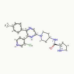 O=C(NC1CCN(c2cnc(-c3ccc(C(F)(F)F)cc3)c(-c3ccncc3Cl)n2)CC1)[C@H]1CCCN1